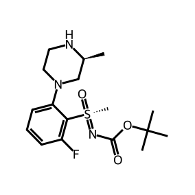 C[C@H]1CN(c2cccc(F)c2[S@@](C)(=O)=NC(=O)OC(C)(C)C)CCN1